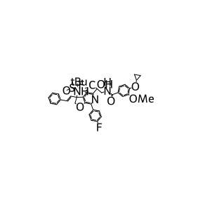 COc1cc(C(=O)NCC(O)(c2cc3c(c(-c4ccc(F)cc4)n2)OCC3(/C=C/c2ccccc2)N[S+]([O-])C(C)(C)C)C(F)(F)F)ccc1OC1CC1